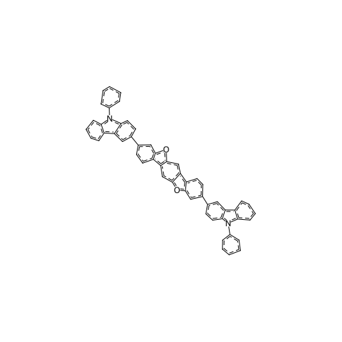 c1ccc(-n2c3ccccc3c3cc(-c4ccc5c(c4)oc4cc6c(cc45)oc4cc(-c5ccc7c(c5)c5ccccc5n7-c5ccccc5)ccc46)ccc32)cc1